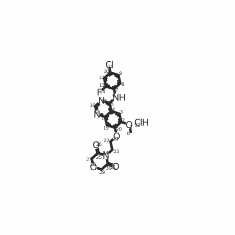 COc1cc2c(Nc3ccc(Cl)cc3F)ncnc2cc1OCCN1C(=O)COCC1=O.Cl